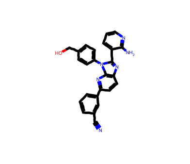 N#Cc1cccc(-c2ccc3nc(-c4cccnc4N)n(-c4ccc(CO)cc4)c3n2)c1